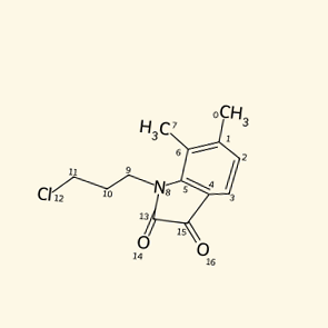 Cc1ccc2c(c1C)N(CCCCl)C(=O)C2=O